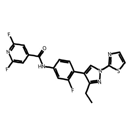 CCc1nn(-c2nccs2)cc1-c1ccc(NC(=O)c2cc(F)nc(F)c2)cc1F